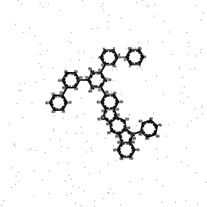 c1ccc(-c2cccc(-c3nc(-c4cccc(-c5ccccc5)c4)nc(-c4ccc5c(c4)oc4cc6c7ccccc7n(-c7ccccc7)c6cc45)n3)c2)cc1